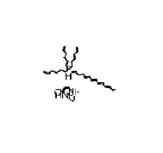 CCCCCCCCCCCCCC[PH](CCCCCC)(CCCCCC)CCCCCC.O=c1cc[nH]c(=O)[nH]1